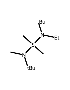 CCN(C(C)(C)C)S(C)(C)N(C)C(C)(C)C